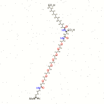 CN[C@@H](CCCCNC(=O)CCOCCOCCOCCOCCOCCOCCOCCOCCNC(=O)CC[C@H](NC(=O)CCCCCCCCCCCCCC(=O)O)C(=O)O)C(C)=O